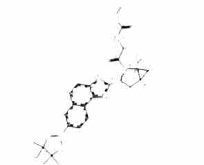 COC(=O)NCC(=O)N1[C@@H]2C[C@@H]2C[C@H]1c1nc2ccc3cc(B4OC(C)(C)C(C)(C)O4)ccc3c2[nH]1